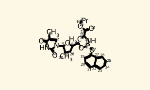 Cc1cn(C2OC(CO[P@@](NC(C)C(=O)OC(C)C)Oc3cccc4ccccc34)CC2C)c(=O)[nH]c1=O